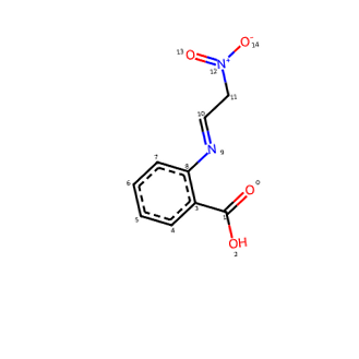 O=C(O)c1ccccc1/N=C/C[N+](=O)[O-]